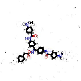 CN(C)c1ccc(C(=O)Nc2ccc(C(=NOC(=O)Cc3ccccc3)c3ccc(NC(=O)c4ccc(N(C)C)cc4)cc3)cc2)cc1